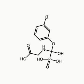 O=C(O)CNC(O)(Oc1cccc(Cl)c1)P(=O)(O)O